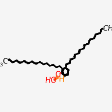 CCCCCCCCCCCCCCCCc1cccc(OPO)c1CCCCCCCCCCCCCCCC